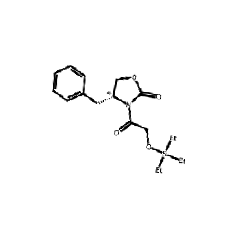 CC[Si](CC)(CC)OCC(=O)N1C(=O)OC[C@H]1Cc1ccccc1